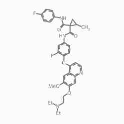 CCN(CC)CCOc1cc2nccc(Oc3ccc(NC(=O)C4(C(=O)Nc5ccc(F)cc5)CC4C)cc3F)c2cc1OC